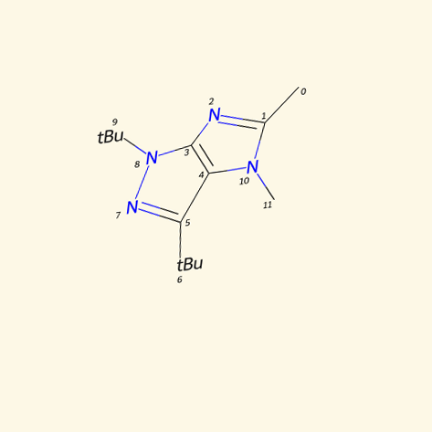 Cc1nc2c(c(C(C)(C)C)nn2C(C)(C)C)n1C